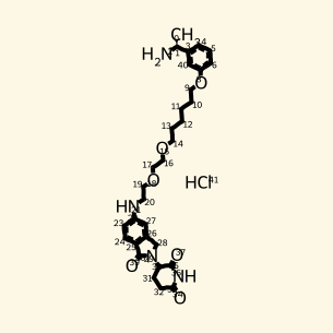 C[C@@H](N)c1cccc(OCCCCCCOCCOCCNc2ccc3c(c2)CN(C2CCC(=O)NC2=O)C3=O)c1.Cl